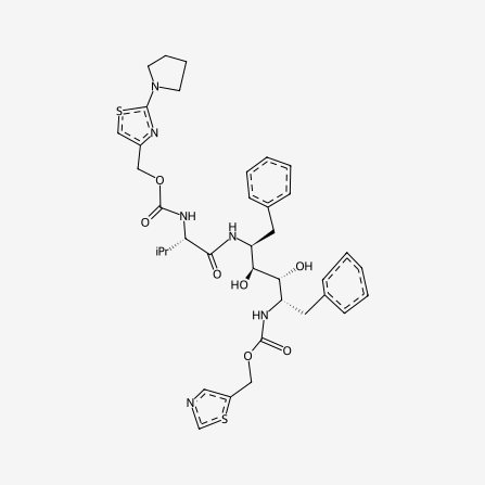 CC(C)[C@H](NC(=O)OCc1csc(N2CCCC2)n1)C(=O)N[C@@H](Cc1ccccc1)[C@H](O)[C@H](O)[C@H](Cc1ccccc1)NC(=O)OCc1cncs1